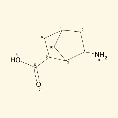 NC1CC2CC(C(=O)O)C1C2